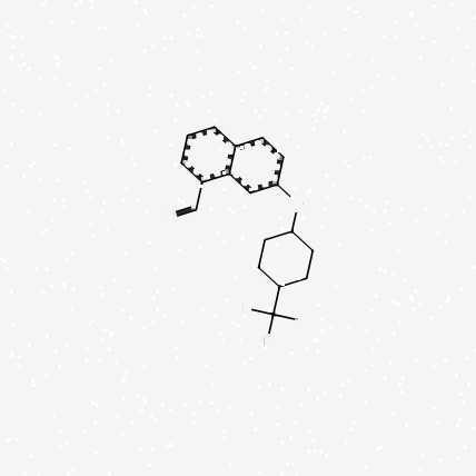 O=Cc1cccc2ccc(OC3CCC(C(F)(F)F)CC3)cc12